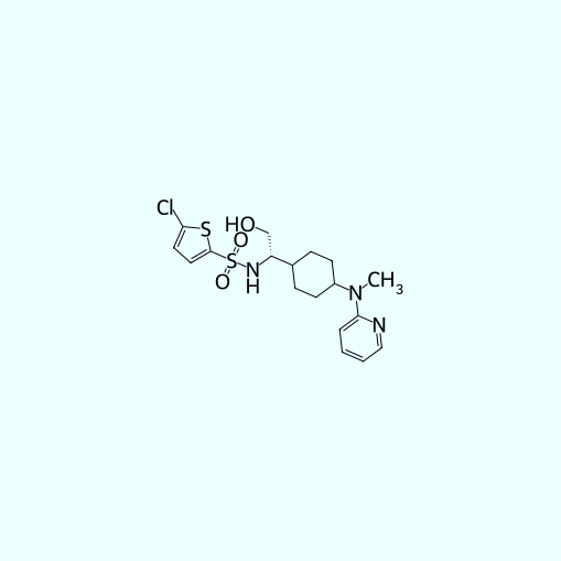 CN(c1ccccn1)C1CCC([C@@H](CO)NS(=O)(=O)c2ccc(Cl)s2)CC1